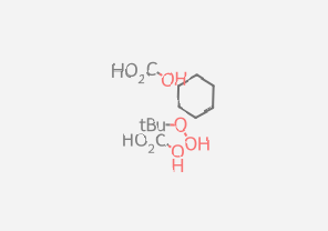 C1CCCCC1.CC(C)(C)OO.O=C(O)O.O=C(O)O